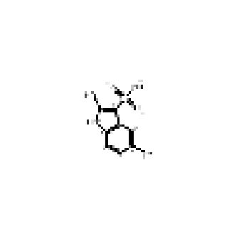 CC(C)c1ccc2[nH]c(O)c(S(N)(=O)=O)c2c1